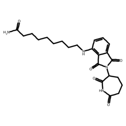 NC(=O)CCCCCCCCNc1cccc2c1C(=O)N(C1CCCC(=O)NC1=O)C2=O